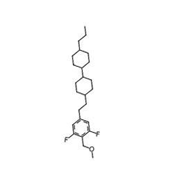 CCCC1CCC(C2CCC(CCc3cc(F)c(COC)c(F)c3)CC2)CC1